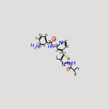 Cc1nc(NC(=O)C(C)C)sc1-c1ccnc(NC(=O)c2cccc(N)c2)c1